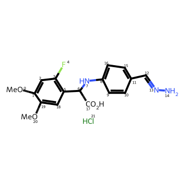 COc1cc(F)c(C(Nc2ccc(C=NN)cc2)C(=O)O)cc1OC.Cl